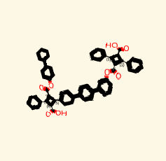 O=C(O)[C@@H]1[C@H](c2ccccc2)[C@@H](C(=O)Oc2ccc(-c3ccccc3)cc2)[C@H]1c1ccc(-c2ccc(-c3cccc(OC(=O)[C@H]4[C@@H](c5ccccc5)[C@H](C(=O)O)[C@@H]4c4ccccc4)c3)cc2)cc1